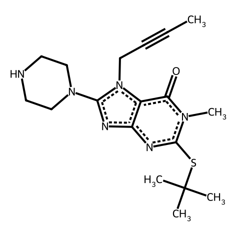 CC#CCn1c(N2CCNCC2)nc2nc(SC(C)(C)C)n(C)c(=O)c21